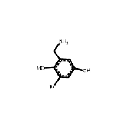 NCc1cc(O)cc(Br)c1O